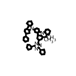 CC1(C)c2ccccc2-n2c3ccc(-n4c5ccccc5c5ccc(-c6ccccc6)cc54)cc3c3cc(-c4nc(-c5ccccc5)nc(-c5ccccc5)n4)cc1c32